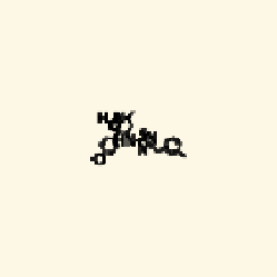 COc1ccc(C(=O)C(CC(C)N)Nc2nc(Cc3cccc(C)c3)ns2)cc1